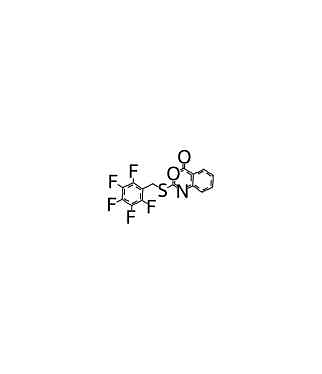 O=c1oc(SCc2c(F)c(F)c(F)c(F)c2F)nc2ccccc12